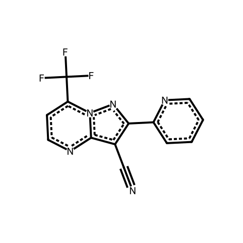 N#Cc1c(-c2ccccn2)nn2c(C(F)(F)F)ccnc12